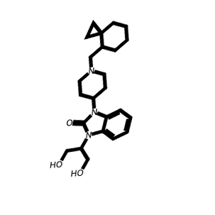 O=c1n(C(CO)CO)c2ccccc2n1C1CCN(CC2CCCCC23CC3)CC1